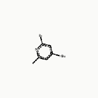 CCCCc1cc(C)nc(Br)c1